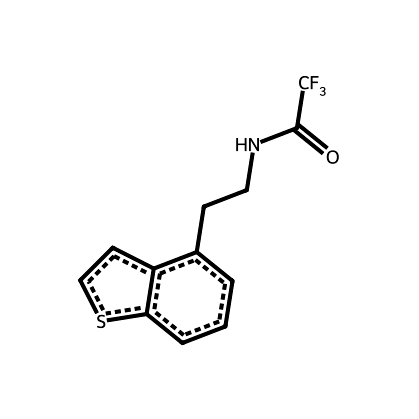 O=C(NCCc1cccc2sccc12)C(F)(F)F